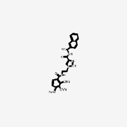 COc1ccc(C(=O)NCCN2C=C(C(=O)NC(C#N)c3ccc4ccccc4c3)NN2)c(OC)c1OC